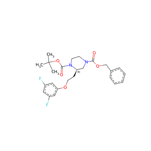 CC(C)(C)OC(=O)N1CCN(C(=O)OCc2ccccc2)C[C@H]1CCOc1cc(F)cc(F)c1